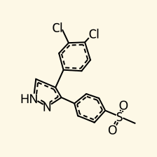 CS(=O)(=O)c1ccc(-c2n[nH]cc2-c2ccc(Cl)c(Cl)c2)cc1